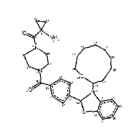 NC1(C(=O)N2CCN(C(=O)c3ccc(C4Sc5ccccc5N4C4CCCCCCCCC4)cc3)CC2)CC1